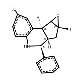 FC(F)(F)c1ccc2c(c1)[C@H]1C3O[C@@H]3C[C@H]1[C@@H](c1ccccc1)N2